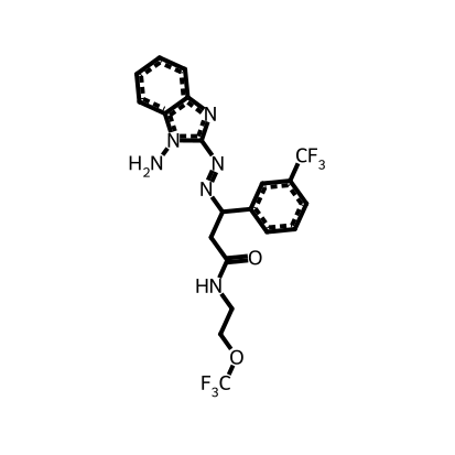 Nn1c(N=NC(CC(=O)NCCOC(F)(F)F)c2cccc(C(F)(F)F)c2)nc2ccccc21